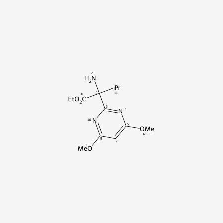 CCOC(=O)C(N)(c1nc(OC)cc(OC)n1)C(C)C